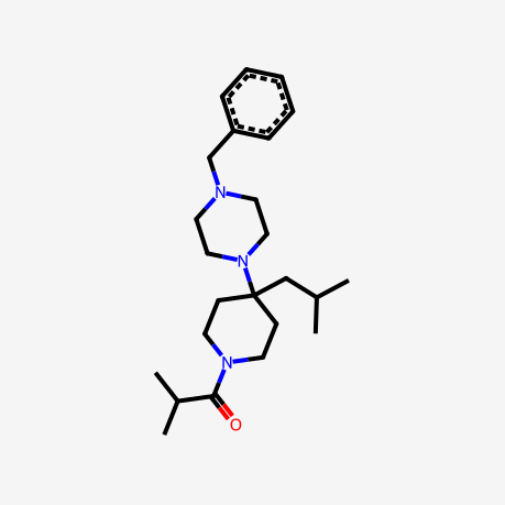 CC(C)CC1(N2CCN(Cc3ccccc3)CC2)CCN(C(=O)C(C)C)CC1